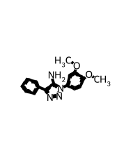 COc1ccc(-n2nnc(-c3ccccc3)c2N)cc1OC